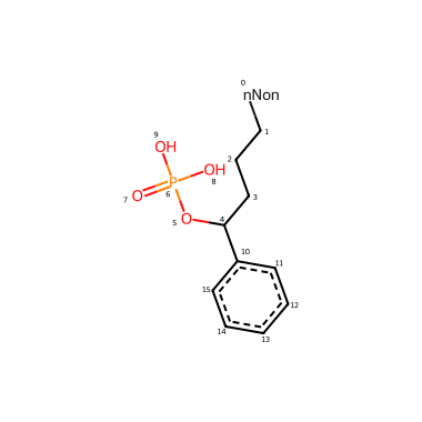 CCCCCCCCCCCCC(OP(=O)(O)O)c1ccccc1